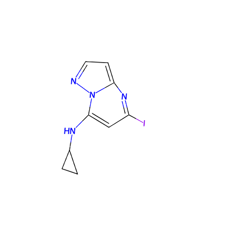 Ic1cc(NC2CC2)n2nccc2n1